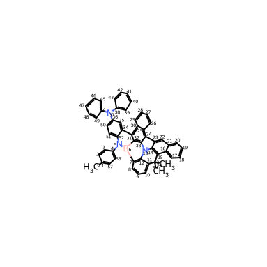 Cc1ccc(N2B3c4cccc5c4-n4c6c(c7ccccc7cc6c6c7ccccc7c(c3c64)-c3cc(N(c4ccccc4)c4ccccc4)ccc32)C5(C)C)cc1